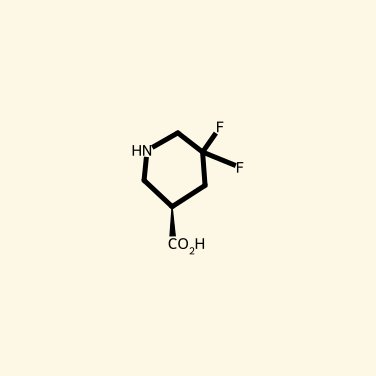 O=C(O)[C@H]1CNCC(F)(F)C1